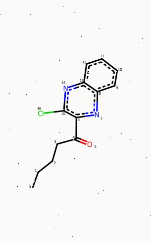 CCCCC(=O)c1nc2ccccc2nc1Cl